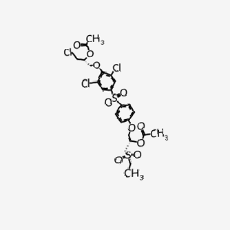 CCS(=O)(=O)C[C@H](COc1ccc(S(=O)(=O)c2cc(Cl)c(OC[C@H](CCl)OC(C)=O)c(Cl)c2)cc1)OC(C)=O